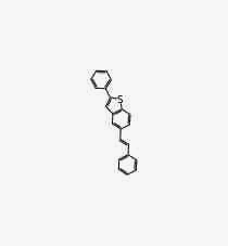 C(=C\c1ccc2sc(-c3ccccc3)cc2c1)/c1ccccc1